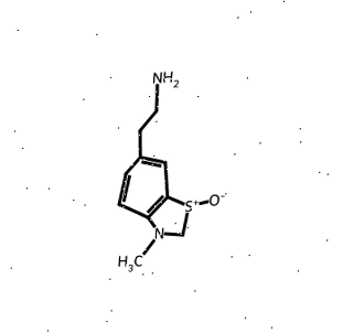 CN1C[S+]([O-])c2cc(CCN)ccc21